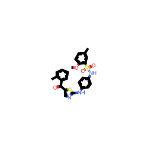 COc1ccc(C)cc1S(=O)(=O)Nc1ccc(Nc2ncc(C(=O)c3ccccc3C)s2)cc1